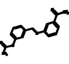 CC(=O)Oc1cccc(COc2cccc(C(N)=O)c2)c1